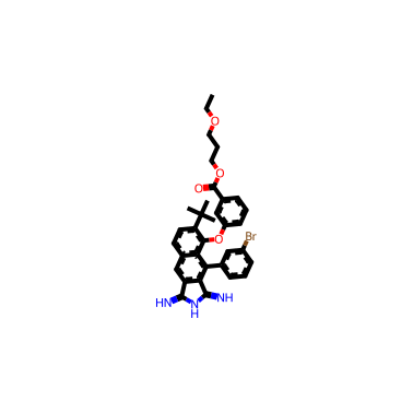 CCOCCCOC(=O)c1cccc(Oc2c(C(C)(C)C)ccc3cc4c(c(-c5cccc(Br)c5)c23)C(=N)NC4=N)c1